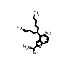 C=CCCC(CCCCC)c1cccc2sc(C(=N)N)cc12.Cl